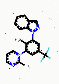 Cc1c(-n2ncc3ccccc32)cc(C(F)(F)F)cc1-[n+]1cccnc1C